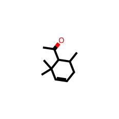 CC(=O)C1C(C)CC=CC1(C)C